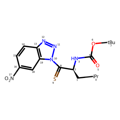 CC(C)C[C@H](NC(=O)OC(C)(C)C)C(=S)n1nnc2ccc([N+](=O)[O-])cc21